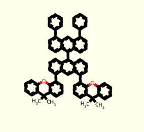 CC1(C)c2ccccc2Oc2c(-c3cccc4c(-c5c6cccc(-c7ccccc7)c6cc6c(-c7ccccc7)cccc56)c5cccc(-c6cccc7c6Oc6ccccc6C7(C)C)c5cc34)cccc21